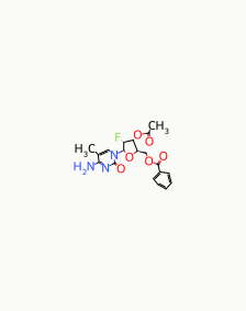 CC(=O)O[C@H]1[C@@H](F)[C@H](n2cc(C)c(N)nc2=O)O[C@@H]1COC(=O)c1ccccc1